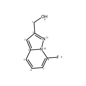 OCc1cc2cccc(F)n2n1